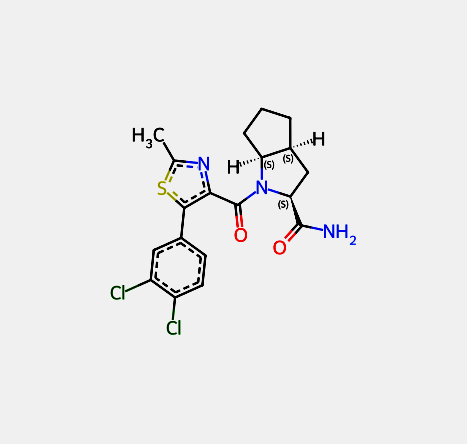 Cc1nc(C(=O)N2[C@H](C(N)=O)C[C@@H]3CCC[C@@H]32)c(-c2ccc(Cl)c(Cl)c2)s1